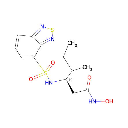 CCC(C)[C@@H](CC(=O)NO)NS(=O)(=O)c1cccc2nsnc12